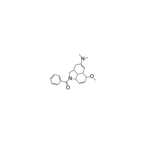 COC1C=CC2C3C(CC(N(C)C)=CC13)CN2C(=O)c1ccccc1